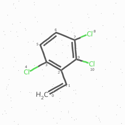 C=[C]c1c(Cl)ccc(Cl)c1Cl